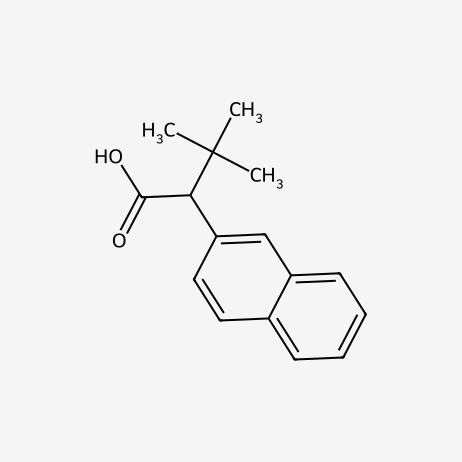 CC(C)(C)C(C(=O)O)c1ccc2ccccc2c1